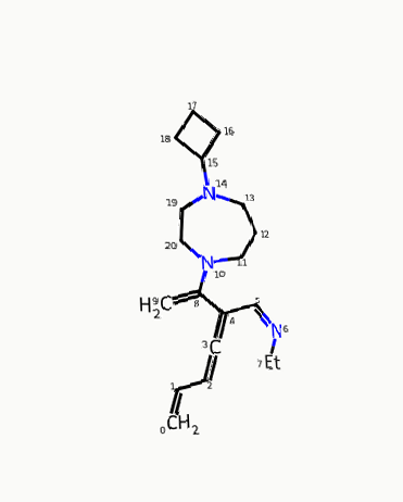 C=CC=C=C(/C=N\CC)C(=C)N1CCCN(C2CCC2)CC1